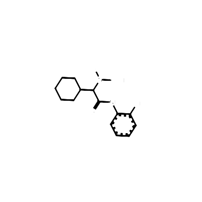 Cc1ccccc1NC(=O)C(C1CCCCC1)N(C(=O)O)C(C)(C)C